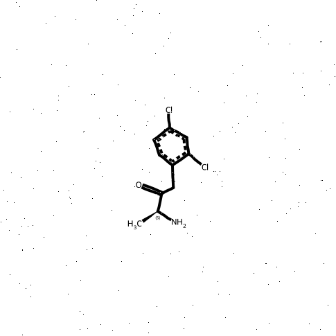 C[C@H](N)C(=O)Cc1ccc(Cl)cc1Cl